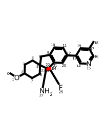 COC1CCC2(CC1)Cc1ccc(-c3cncc(C)c3)cc1C21C=C(F)C(N)=N1